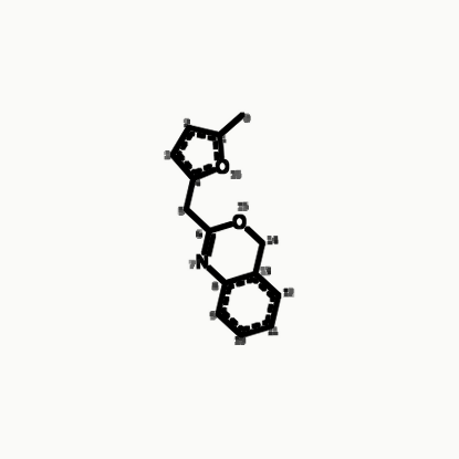 Cc1ccc(CC2=Nc3ccccc3CO2)o1